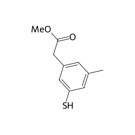 COC(=O)Cc1cc(C)cc(S)c1